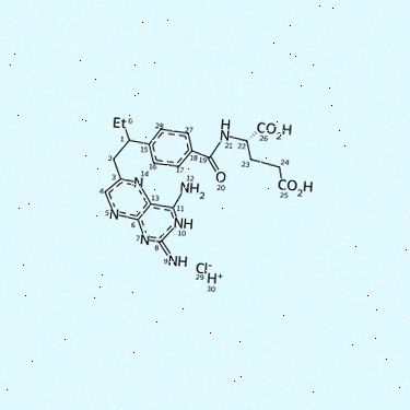 CCC(Cc1cnc2nc(=N)[nH]c(N)c2n1)c1ccc(C(=O)N[C@@H](CCC(=O)O)C(=O)O)cc1.[Cl-].[H+]